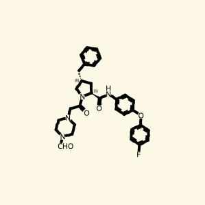 O=CN1CCN(CC(=O)N2C[C@H](Cc3ccccc3)C[C@H]2C(=O)Nc2ccc(Oc3ccc(F)cc3)cc2)CC1